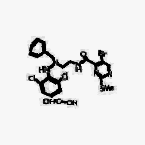 CSc1ncc(Br)c(C(=O)NCCN(Cc2ccccc2)Nc2c(Cl)cccc2Cl)n1.O=CO